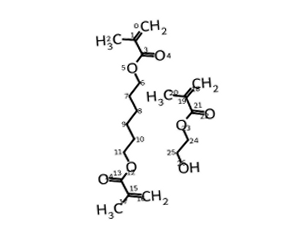 C=C(C)C(=O)OCCCCCCOC(=O)C(=C)C.C=C(C)C(=O)OCCO